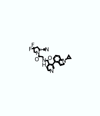 N#C[C@@H]1CC(F)(F)CN1C(=O)CNC(=O)c1ccncc1-c1cccc2c1ccn2C1CC1